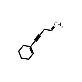 C=CCC#CC1=CCCCC1